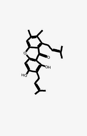 CC(C)=CCc1c(O)cc2oc3cc(C)c(C)c(CC=C(C)C)c3c(=O)c2c1O